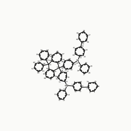 c1ccc(-c2ccc(N(c3ccccc3)c3ccc(C4(c5ccc(N(c6ccccc6)c6ccc(-c7ccccc7)cc6)cc5)c5ccccc5C(c5ccccc5)(c5ccccc5)c5ccccc54)cc3)cc2)cc1